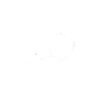 O=[SH](=O)Oc1cccccccs1